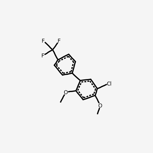 COc1cc(OC)c(-c2ccc(C(F)(F)F)cc2)cc1Cl